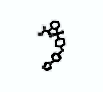 O=C(NO)[C@H]1CCCCN1S(=O)(=O)N1CCC(Oc2ccc(-n3ccnc3)cc2)CC1